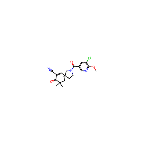 COc1ncc(C(=O)N2CC[C@@]3(C=C(C#N)C(=O)C(C)(C)C3)C2)cc1Cl